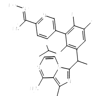 Cc1nc(C(C)c2cc(Cl)c(F)c(-c3ccc(C(N)=NO)nc3)c2OC(C)C)n2ccnc(N)c12